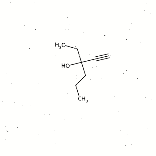 [C]#CC(O)(CC)CCC